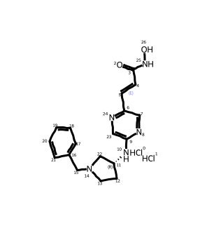 Cl.Cl.O=C(/C=C/c1cnc(N[C@@H]2CCN(Cc3ccccc3)C2)cn1)NO